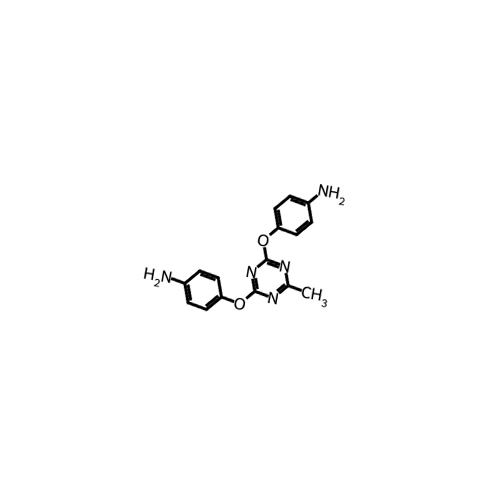 Cc1nc(Oc2ccc(N)cc2)nc(Oc2ccc(N)cc2)n1